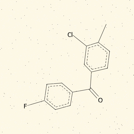 Cc1ccc(C(=O)c2ccc(F)cc2)cc1Cl